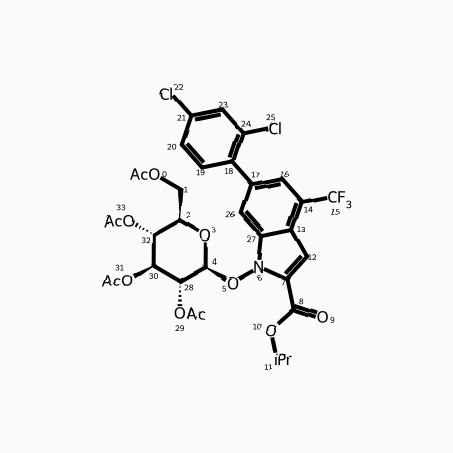 CC(=O)OC[C@H]1O[C@@H](On2c(C(=O)OC(C)C)cc3c(C(F)(F)F)cc(-c4ccc(Cl)cc4Cl)cc32)[C@H](OC(C)=O)[C@@H](OC(C)=O)[C@@H]1OC(C)=O